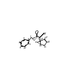 C=C(C(=O)OCc1ccccc1)C12CCCC1C2